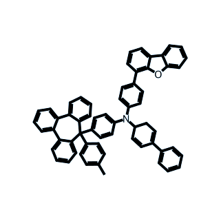 Cc1ccc(C2(c3ccc(N(c4ccc(-c5cccc6c5oc5ccccc56)cc4)C4C=CC(c5ccccc5)=CC4)cc3)c3ccccc3-c3ccccc3-c3ccccc32)cc1